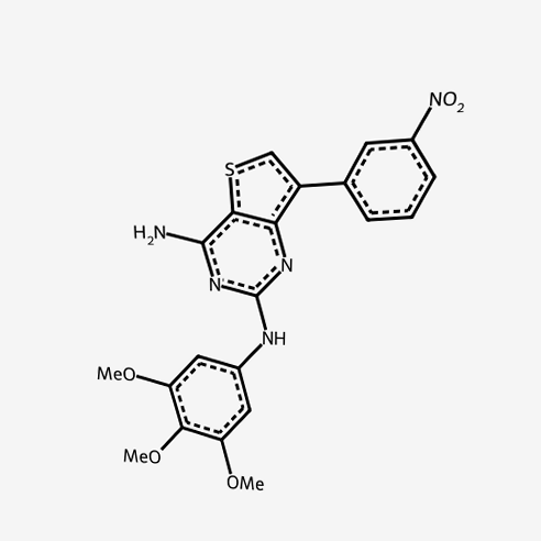 COc1cc(Nc2nc(N)c3scc(-c4cccc([N+](=O)[O-])c4)c3n2)cc(OC)c1OC